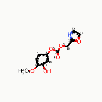 COc1ccc(OC(=O)OCc2ncco2)cc1O